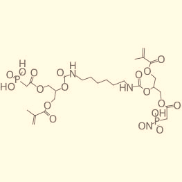 C=C(C)C(=O)OCC(COC(=O)CP(=O)(O)O)OC(=O)NCCCCCCNC(=O)OC(COC(=O)CP(=O)(O)N=O)COC(=O)C(=C)C